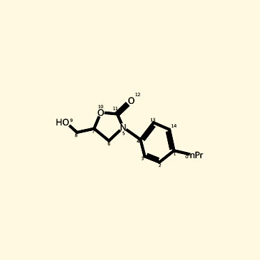 CCCc1ccc(N2CC(CO)OC2=O)cc1